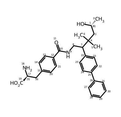 C[C@@H](O)CC(C)(C)C(CNC(=O)c1ccc(C[C@H](N)C(=O)O)cc1)c1ccc(-c2ccccc2)cc1